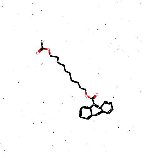 CCC(=O)OCCCCCCCCCCOC(=O)c1c2ccccc2cc2ccccc12